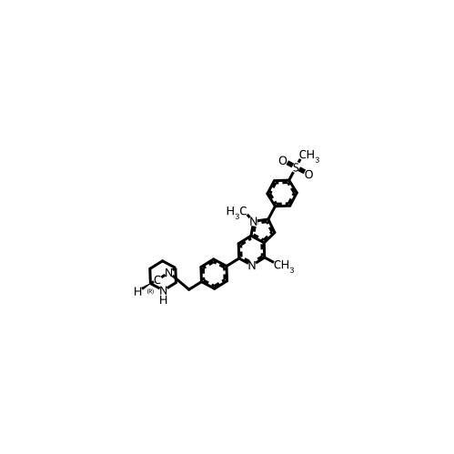 Cc1nc(-c2ccc(CN3C[C@H]4CCC3CN4)cc2)cc2c1cc(-c1ccc(S(C)(=O)=O)cc1)n2C